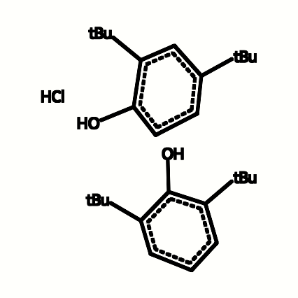 CC(C)(C)c1ccc(O)c(C(C)(C)C)c1.CC(C)(C)c1cccc(C(C)(C)C)c1O.Cl